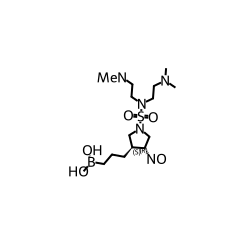 CNCCN(CCN(C)C)S(=O)(=O)N1C[C@H](CCCB(O)O)[C@@H](N=O)C1